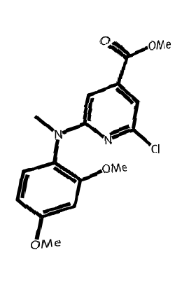 COC(=O)c1cc(Cl)nc(N(C)c2ccc(OC)cc2OC)c1